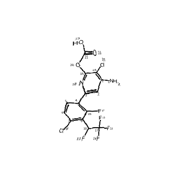 Nc1cc(-c2ccc(Cl)c(C(F)C(F)(F)F)c2F)nc(OC(=O)O)c1Cl